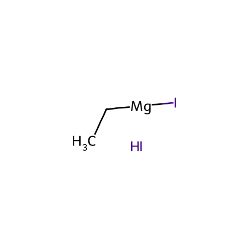 C[CH2][Mg][I].I